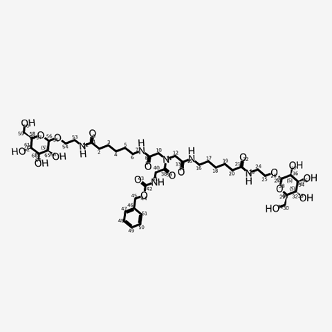 O=C(CCCCCNC(=O)CN(CC(=O)NCCCCCC(=O)NCCO[C@H]1O[C@H](CO)[C@@H](O)[C@H](O)[C@@H]1O)C(=O)CNC(=O)OCc1ccccc1)NCCOC1O[C@H](CO)[C@@H](O)[C@H](O)[C@@H]1O